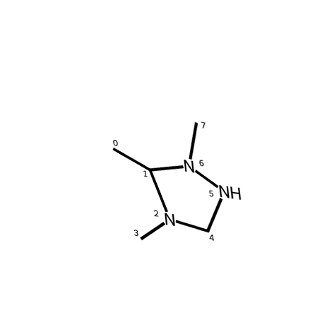 CC1N(C)CNN1C